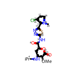 COc1c(NC(C)C)cc(C(=O)Nc2nnc(-c3c(Cl)ccn3C)s2)oc1=O